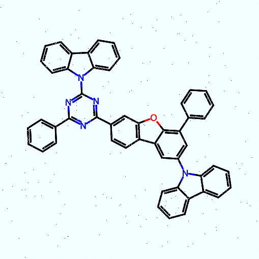 c1ccc(-c2nc(-c3ccc4c(c3)oc3c(-c5ccccc5)cc(-n5c6ccccc6c6ccccc65)cc34)nc(-n3c4ccccc4c4ccccc43)n2)cc1